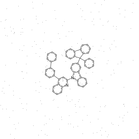 c1ccc(-c2cccc(-c3cc(-n4c5ccccc5c5cc(C6(c7ccccc7)c7ccccc7-c7ccccc76)ccc54)nc4ccccc34)c2)cc1